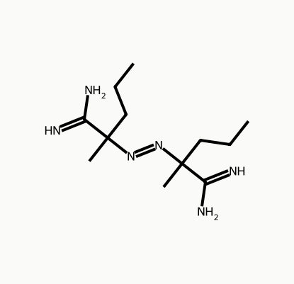 CCCC(C)(N=NC(C)(CCC)C(=N)N)C(=N)N